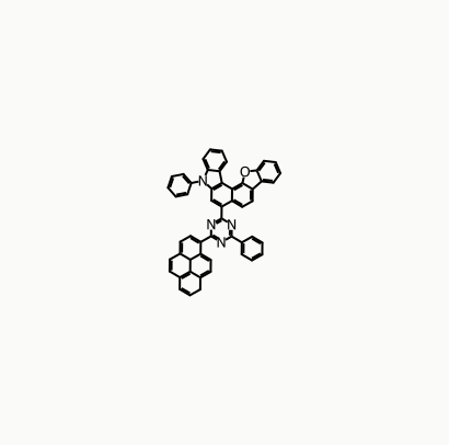 C1=CC2=C3C(=CC=C4C(c5nc(-c6ccccc6)nc(-c6cc7c(c8ccccc8n7-c7ccccc7)c7c6ccc6c8ccccc8oc67)n5)=CC=C(C=C2)C43)C1